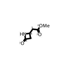 COC(=O)CC1CC(=O)N1